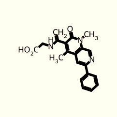 C=C(NCC(=O)O)c1c(C)c2cc(-c3ccccc3)ncc2n(C)c1=O